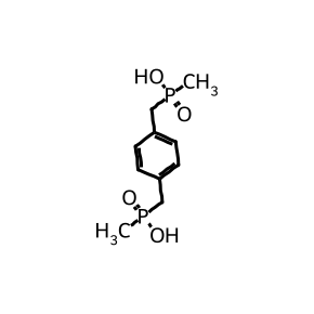 CP(=O)(O)Cc1ccc(CP(C)(=O)O)cc1